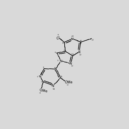 COc1ncc(-n2cc3c(Cl)nc(C)nc3n2)c(OC)n1